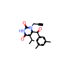 C#CCn1c(C(=O)c2cc(C)cc(C)c2)c(C(C)C)c(=O)[nH]c1=O